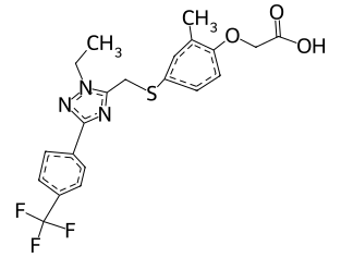 CCn1nc(-c2ccc(C(F)(F)F)cc2)nc1CSc1ccc(OCC(=O)O)c(C)c1